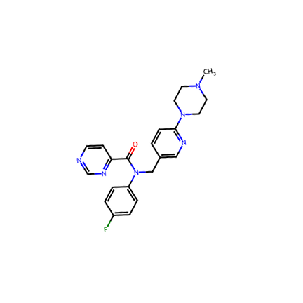 CN1CCN(c2ccc(CN(C(=O)c3ccncn3)c3ccc(F)cc3)cn2)CC1